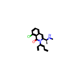 C=C/C=C(\C=C)n1c([C@H](C)NC)cc2cccc(Cl)c2c1=O